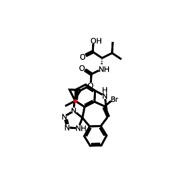 Cc1ccc2[nH]c3c(Br)c2c1C1(NN=NN1C1CC1OC(=O)N[C@H](C(=O)O)C(C)C)c1ccccc1-3